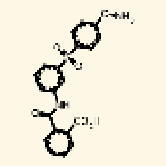 NOc1ccc(S(=O)(=O)c2cccc(NC(=O)c3ccccc3C(=O)O)c2)cc1